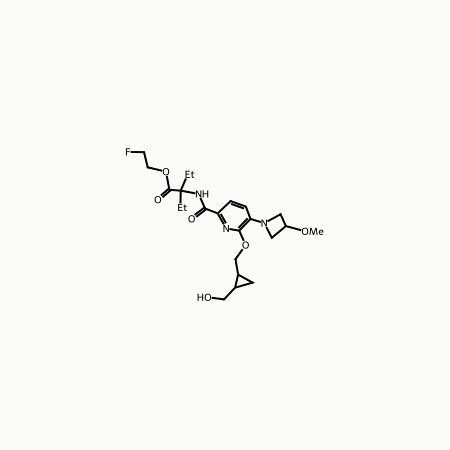 CCC(CC)(NC(=O)c1ccc(N2CC(OC)C2)c(OCC2CC2CO)n1)C(=O)OCCF